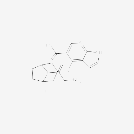 NCC(=O)N1[C@@H]2CC[C@H]1C[C@H](Nc1c(C(N)=O)cnc3[nH]ccc13)C2